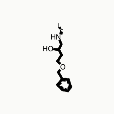 OC(CCOCc1ccccc1)CNSI